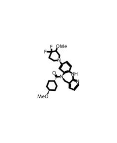 COC1CN(c2ccc3c(c2)N(C(=O)[C@H]2CC[C@H](OC)CC2)Cc2cccnc2N3)CCC1(F)F